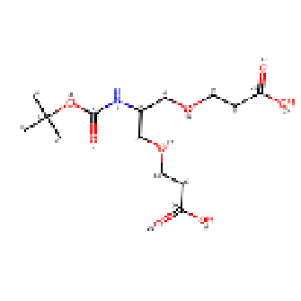 CC(C)(C)OC(=O)NC(COCCC(=O)O)COCCC(=O)O